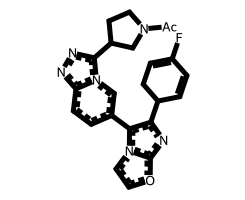 CC(=O)N1CCC(c2nnc3ccc(-c4c(C5C=CC(F)=CC5)nc5occn45)cn23)C1